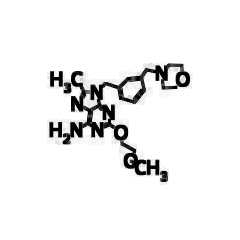 COCCOc1nc(N)c2nc(C)n(Cc3cccc(CN4CCOCC4)c3)c2n1